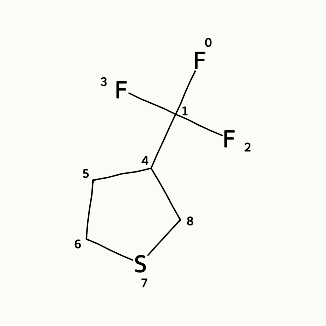 FC(F)(F)C1CCSC1